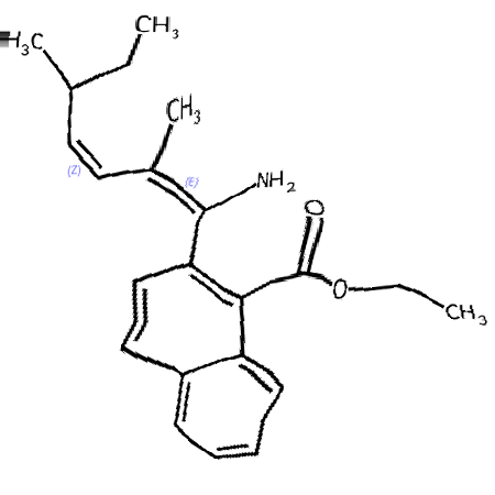 CCOC(=O)c1c(/C(N)=C(C)\C=C/C(C)CC)ccc2ccccc12